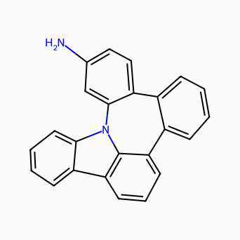 Nc1ccc2c(c1)-n1c3ccccc3c3cccc(c31)-c1ccccc1-2